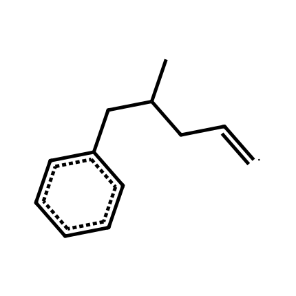 [CH]=CCC(C)Cc1ccccc1